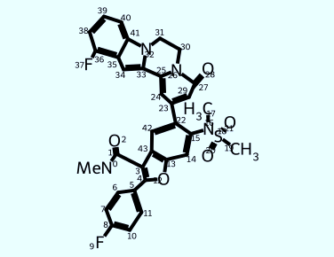 CNC(=O)c1c(-c2ccc(F)cc2)oc2cc(N(C)S(C)(=O)=O)c(-c3cc4n(c(=O)c3)CCn3c-4cc4c(F)cccc43)cc12